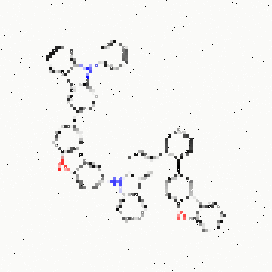 c1ccc(-n2c3ccccc3c3cc(-c4ccc5oc6ccc(-n7c8ccccc8c8cc(-c9ccccc9-c9ccc%10oc%11ccccc%11c%10c9)ccc87)cc6c5c4)ccc32)cc1